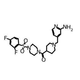 Nc1cc(CN2CCC(C(=O)N3CCN(S(=O)(=O)c4ccc(F)cc4F)CC3)CC2)ccn1